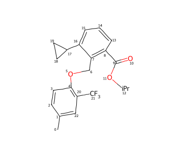 Cc1ccc(OCc2c(C(=O)OC(C)C)cccc2C2CC2)c(C(F)(F)F)c1